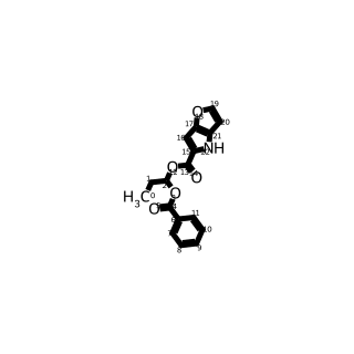 CCC(OC(=O)c1ccccc1)OC(=O)c1cc2occc2[nH]1